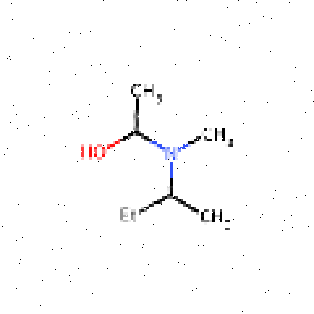 CCC(C)N(C)C(C)O